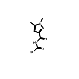 Cc1cc(C(=O)NC(=O)O)nn1C